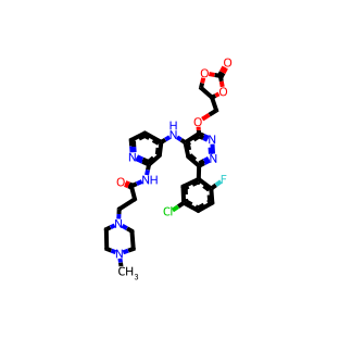 CN1CCN(CCC(=O)Nc2cc(Nc3cc(-c4cc(Cl)ccc4F)nnc3OCC3COC(=O)O3)ccn2)CC1